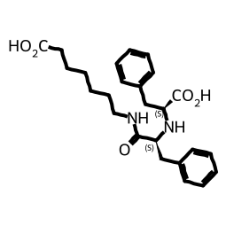 O=C(O)CCCCCCNC(=O)[C@H](Cc1ccccc1)N[C@@H](Cc1ccccc1)C(=O)O